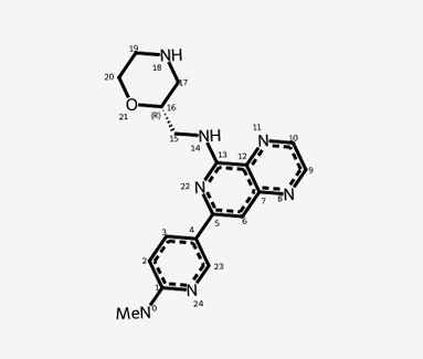 CNc1ccc(-c2cc3nccnc3c(NC[C@H]3CNCCO3)n2)cn1